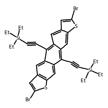 CC[Si](C#Cc1c2cc3cc(Br)sc3cc2c(C#C[Si](CC)(CC)CC)c2cc3sc(Br)cc3cc12)(CC)CC